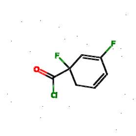 O=C(Cl)C1(F)C=C(F)C=CC1